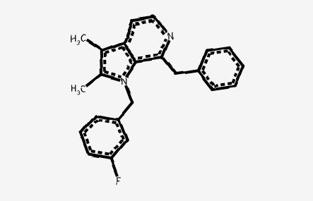 Cc1c(C)n(Cc2cccc(F)c2)c2c(Cc3ccccc3)nccc12